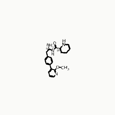 COc1ncccc1-c1ccc(C[C@@H](N)NC(=O)[C@@H]2CCCCN2)cc1